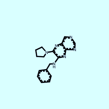 c1ccc(CNc2nc3ncncc3nc2N2CCCC2)cc1